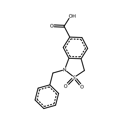 O=C(O)c1ccc2c(c1)N(Cc1ccccc1)S(=O)(=O)C2